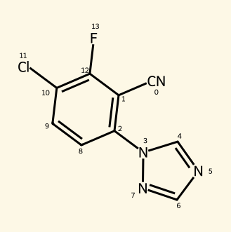 N#Cc1c(-n2cncn2)ccc(Cl)c1F